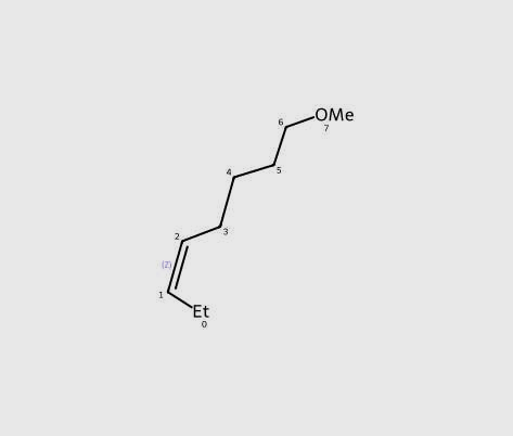 CC/C=C\CCCCOC